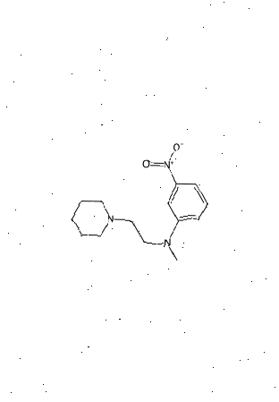 CN(CCN1CCCCC1)c1cc[c]c([N+](=O)[O-])c1